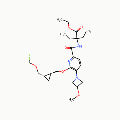 CCOC(=O)C(CC)(CC)NC(=O)c1ccc(N2CC(OC)C2)c(OC[C@H]2C[C@@H]2COCF)n1